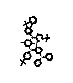 Cc1cc2c3c(c1)N(c1ccc(C(C)(C)C)cc1)c1cc(N(c4ccccc4)c4ccccc4)ccc1B3c1cc(C(C)(C)C)ccc1N2c1ccc2c(c1)-c1ccccc1C2(C)C